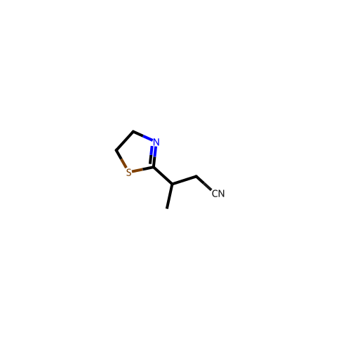 CC(CC#N)C1=NCCS1